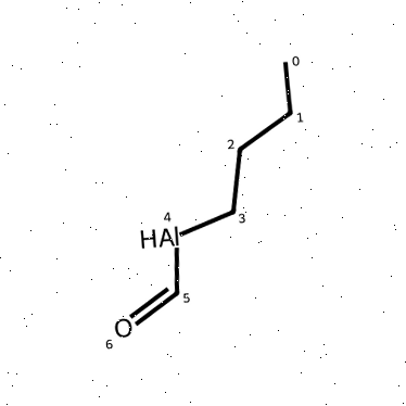 CCC[CH2][AlH][CH]=O